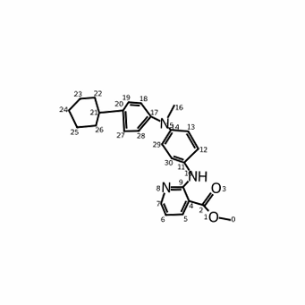 COC(=O)c1cccnc1Nc1ccc(N(C)c2ccc(C3CCCCC3)cc2)cc1